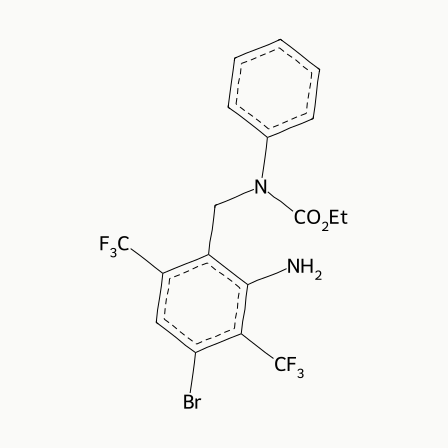 CCOC(=O)N(Cc1c(C(F)(F)F)cc(Br)c(C(F)(F)F)c1N)c1ccccc1